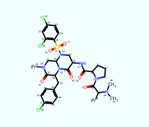 CC(C)C(C(=O)N1CCCC1C(=O)NC1CN(S(=O)(=O)c2ccc(Cl)cc2Cl)C2CN(C(C)C)C(=O)C(Cc3ccc(Cl)cc3)N2C1=O)N(C)C